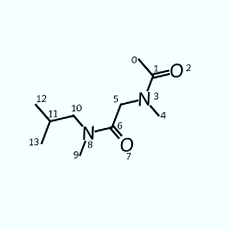 CC(=O)N(C)CC(=O)N(C)CC(C)C